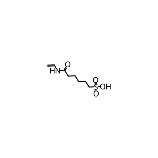 C=CNC(=O)CCCCCS(=O)(=O)O